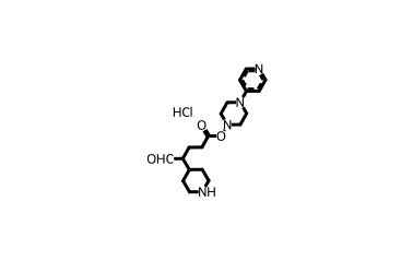 Cl.O=CC(CCC(=O)ON1CCN(c2ccncc2)CC1)C1CCNCC1